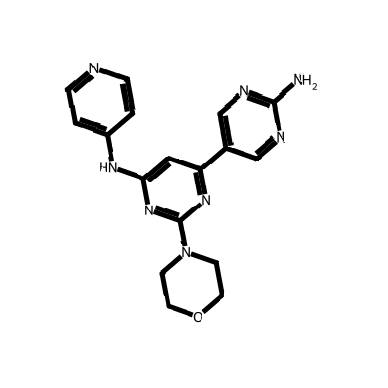 Nc1ncc(-c2cc(Nc3ccncc3)nc(N3CCOCC3)n2)cn1